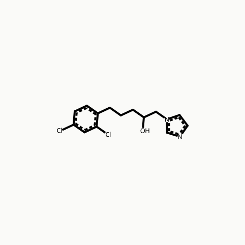 OC(CCCc1ccc(Cl)cc1Cl)Cn1ccnc1